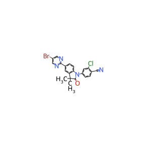 CC1(C)C(=O)N(c2ccc(C#N)c(Cl)c2)c2ccc(-c3ncc(Br)cn3)cc21